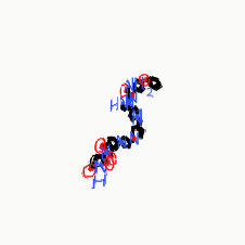 NC(=O)c1c(-c2ccc(Oc3ccccc3)cc2)nn2c1NCCC2C1CCN(CC2CCN(CC3CCN(c4ccc5c(c4)C(=O)N(C4CCC(=O)NC4=O)C5=O)CC3)CC2)CC1